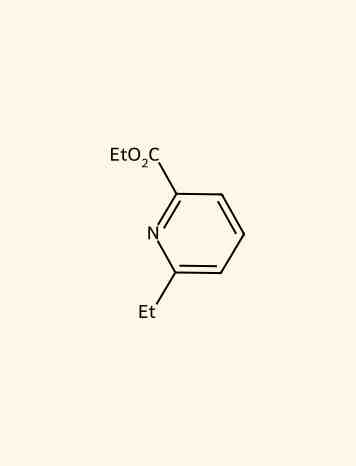 CCOC(=O)c1cccc(CC)n1